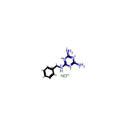 Cl.Nc1nc(N)nc(NCc2ccccc2)n1